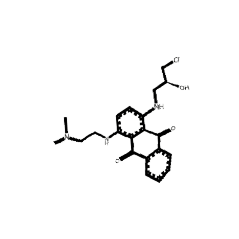 CN(C)CCNc1ccc(NC[C@H](O)CCl)c2c1C(=O)c1ccccc1C2=O